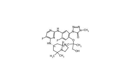 Cn1nnn(-c2cc(Nc3ncc(F)c(N[C@@H]4C[C@@H]5CCCN5C(C)(C)C4)n3)c(F)cc2OC(C)(C)CO)c1=O